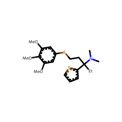 CCC(CCSc1cc(OC)c(OC)c(OC)c1)(c1cccs1)N(C)C